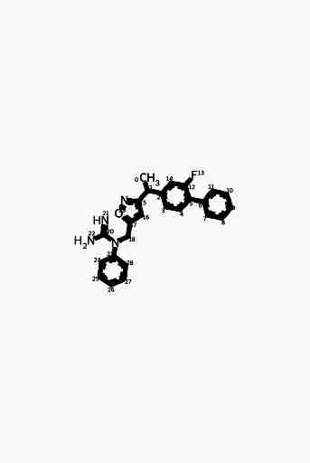 CC(c1ccc(-c2ccccc2)c(F)c1)c1cc(CN(C(=N)N)c2ccccc2)on1